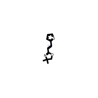 CC1(C)COC(/C=C/c2cccs2)=N1